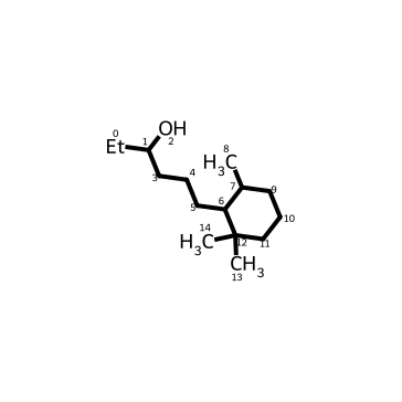 CCC(O)CCCC1C(C)CCCC1(C)C